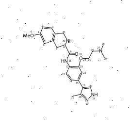 COc1ccc2c(c1)CC(C(=O)Nc1ccc(-c3c[nH]nc3C)cc1OCCN(C)C)NC2